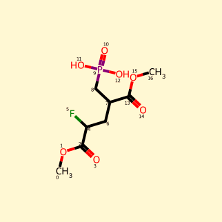 COC(=O)C(F)CC(CP(=O)(O)O)C(=O)OC